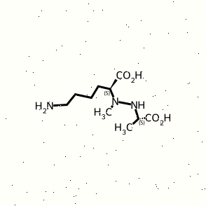 C[C@H](NN(C)[C@@H](CCCCN)C(=O)O)C(=O)O